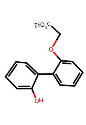 CCOC(=O)COc1ccccc1-c1ccccc1O